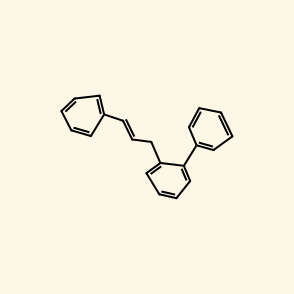 C(=Cc1ccccc1)Cc1ccccc1-c1ccccc1